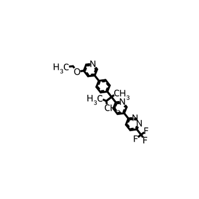 CCOc1cncc(-c2ccc(C(C)(c3ccc(-c4ccc(C(F)(F)F)nn4)cn3)C(C)C)cc2)c1